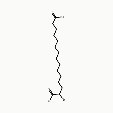 CCC(CCCCCCCCCCCCC(=O)Cl)C(=O)Cl